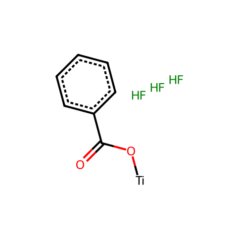 F.F.F.O=C([O][Ti])c1ccccc1